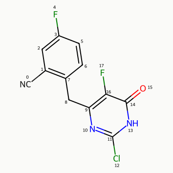 N#Cc1cc(F)ccc1Cc1nc(Cl)[nH]c(=O)c1F